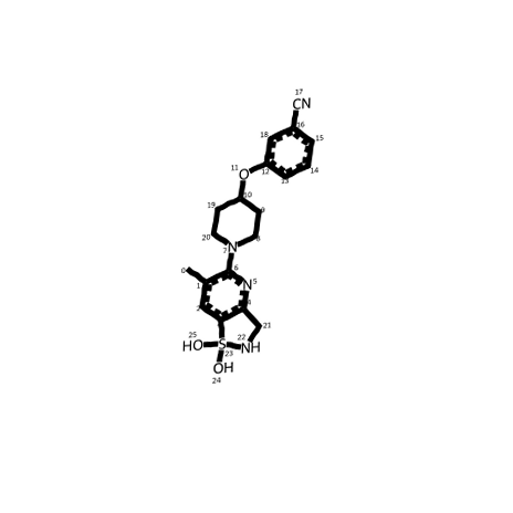 Cc1cc2c(nc1N1CCC(Oc3cccc(C#N)c3)CC1)CNS2(O)O